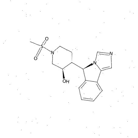 CS(=O)(=O)N1CC[C@H]([C@@H]2c3ccccc3-c3cncn32)[C@@H](O)C1